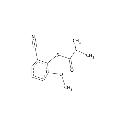 COc1cccc(C#N)c1SC(=O)N(C)C